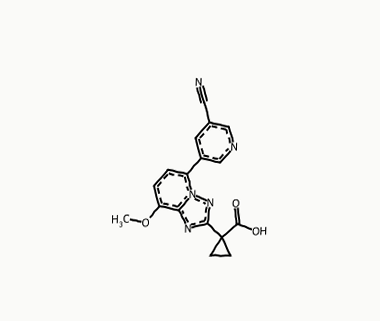 COc1ccc(-c2cncc(C#N)c2)n2nc(C3(C(=O)O)CC3)nc12